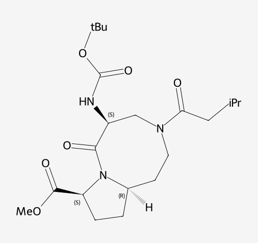 COC(=O)[C@@H]1CC[C@@H]2CCN(C(=O)CC(C)C)C[C@H](NC(=O)OC(C)(C)C)C(=O)N21